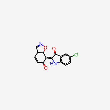 O=C1C=CC2C=NOC2/C1=C1/Nc2ccc(Cl)cc2C1=O